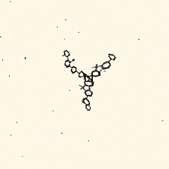 C#Cc1c(-c2ccc(-c3ccc(N(c4ccc5c(c4)C(C)(C)c4cc(-c6ccccc6)ccc4-5)c4ccc5c(c4)C(C)(C)c4cc(-c6ccc7ccccc7c6)ccc4-5)cc3)cc2)cccc1-c1ccccc1C